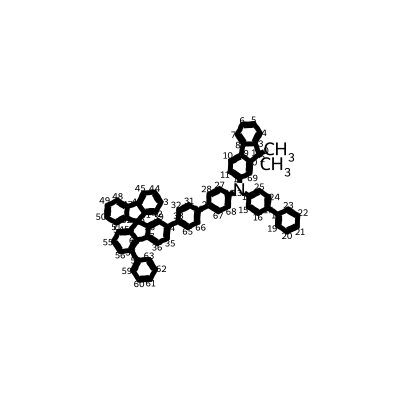 CC1(C)c2ccccc2-c2ccc(N(c3ccc(-c4ccccc4)cc3)c3ccc(-c4ccc(-c5ccc6c(c5)C5(c7ccccc7-c7ccccc75)c5cccc(-c7ccccc7)c5-6)cc4)cc3)cc21